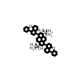 C[Si](C)(C)c1cc(-c2ccc3c4c(cccc24)-c2ccccc2O3)c2ccc3c([Si](C)(C)C)cc(-c4ccc5c6c(cccc46)Oc4ccccc4-5)c4ccc1c2c43